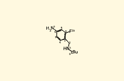 CC(C)(C)NCc1ccc(N)cc1F